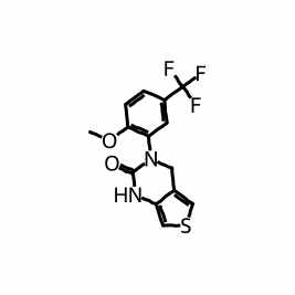 COc1ccc(C(F)(F)F)cc1N1Cc2cscc2NC1=O